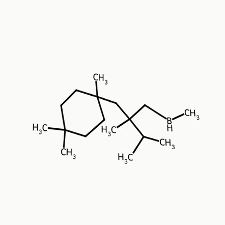 CBCC(C)(CC1(C)CCC(C)(C)CC1)C(C)C